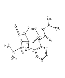 CC(C)OC(=O)Oc1ccccc1C(=O)C1(OC(=O)N(C)C)C=CC=CC1[C]=O